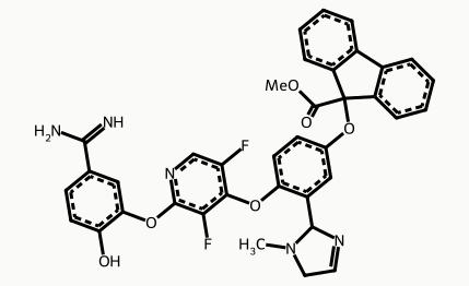 COC(=O)C1(Oc2ccc(Oc3c(F)cnc(Oc4cc(C(=N)N)ccc4O)c3F)c(C3N=CCN3C)c2)c2ccccc2-c2ccccc21